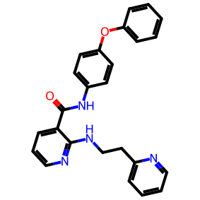 O=C(Nc1ccc(Oc2ccccc2)cc1)c1cccnc1NCCc1ccccn1